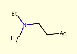 CCN(C)CCC(C)=O